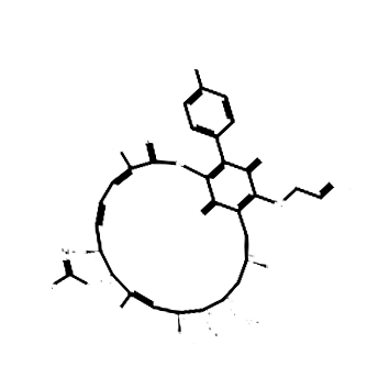 C=CCNC1=C2C[C@@H](C)C[C@H](OC)[C@H](O)[C@@H](C)C=C(C)[C@H](OC(N)=O)[C@@H](OC)C=CC=C(C)C(=O)NC(=C(c3ccc(F)cc3)C1=O)C2=O